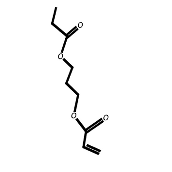 C=CC(=O)OCCCOC(=O)CC